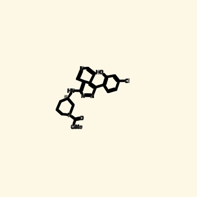 COC(=O)N1CCC[C@@H](Nc2nnc(-c3ccc(Cl)cc3O)c3ccncc23)C1